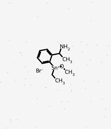 C[CH2][Sn+]([O]C)[c]1ccccc1C(C)N.[Br-]